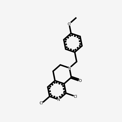 COc1ccc(CN2CCc3cc(Cl)nc(Cl)c3C2=O)cc1